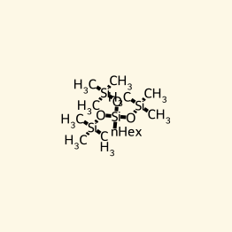 CCCCCC[Si](O[Si](C)(C)C)(O[Si](C)(C)C)O[Si](C)(C)C